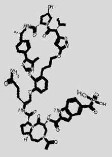 CC(=O)N1CC[C@H]2CC[C@@H](C(=O)N[C@@H](CCC(N)=O)COc3cccc(CCCOc4cc([C@H](C(=O)N5C[C@H](O)C[C@H]5C(=O)N[C@@H](C)c5ccc(-c6scnc6C)cc5)C(C)C)on4)c3F)N2C(=O)[C@@H](NC(=O)c2cc3cc(C(=O)P(=O)(O)O)ccc3[nH]2)C1